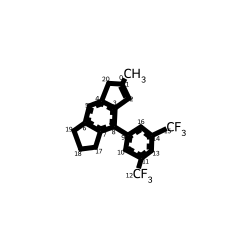 CC1=Cc2c(cc3c(c2-c2cc(C(F)(F)F)cc(C(F)(F)F)c2)CCC3)C1